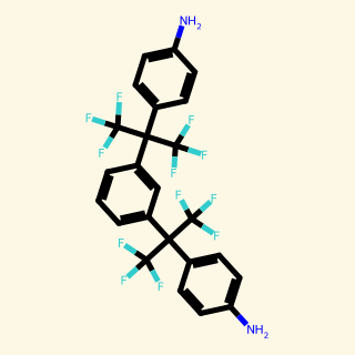 Nc1ccc(C(c2cccc(C(c3ccc(N)cc3)(C(F)(F)F)C(F)(F)F)c2)(C(F)(F)F)C(F)(F)F)cc1